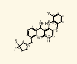 N=C(c1cccc(CN2CCC(F)(F)C2)c1)c1c(Nc2c(F)cccc2F)cc[nH]c1=O